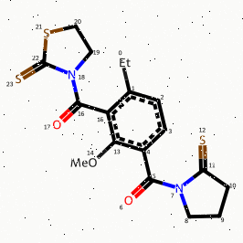 CCc1ccc(C(=O)N2CCCC2=S)c(OC)c1C(=O)N1CCSC1=S